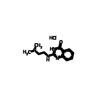 CN(C)CCNc1nc2ccccc2c(=O)[nH]1.Cl